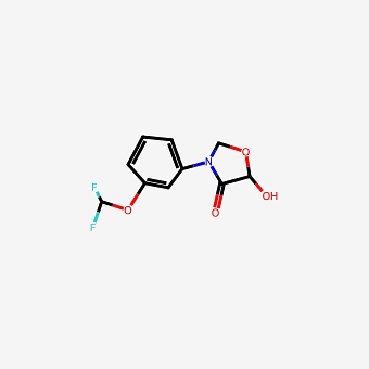 O=C1C(O)OCN1c1cccc(OC(F)F)c1